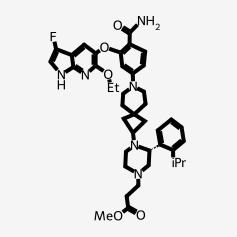 CCOc1nc2[nH]cc(F)c2cc1Oc1cc(N2CCC3(CC2)CC(N2CCN(CCC(=O)OC)C[C@H]2c2ccccc2C(C)C)C3)ccc1C(N)=O